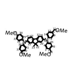 COCc1ccc(N(c2ccc(COC)cc2)c2ccc3c(c2)C(C)(C)c2cc(N(c4ccc(OC)cc4)c4ccc(OC)cc4)ccc2-3)cc1